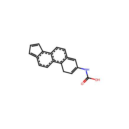 O=C(O)NC1=CCc2c(ccc3c4c(ccc23)=CC=C4)=C1